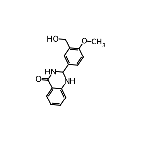 COc1ccc(C2NC(=O)c3ccccc3N2)cc1CO